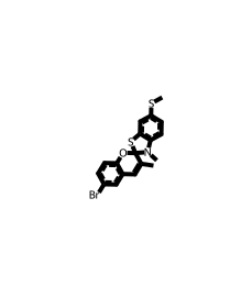 CSc1ccc2c(c1)SC1(Oc3ccc(Br)cc3C=C1C)N2C